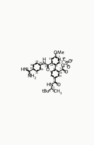 COc1ccc(-c2ccc(C(=O)NC(C)C(C)(C)C)cc2C(=O)OS(C)(=O)=O)c(C(=O)Nc2ccc(C(=N)N)cc2)c1